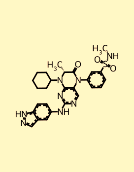 CNS(=O)(=O)c1cccc(N2C(=O)[C@@H](C)N(C3CCCCC3)c3nc(Nc4ccc5[nH]ncc5c4)ncc32)c1